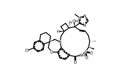 C[C@@H]1[C@@H](C)C/C=C/[C@@](O)(c2ncnn2C)[C@@H]2CC[C@H]2CN2C[C@@]3(CCCc4cc(Cl)ccc43)COc3ccc(cc32)C(=O)NS1(=O)=O